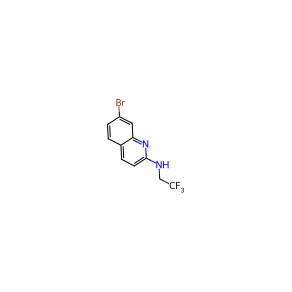 FC(F)(F)CNc1ccc2ccc(Br)cc2n1